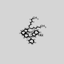 CCCCCCP(CCCCCC)C1=Cc2ccccc2[CH]1[Hf+2][CH]1C(P(c2ccccc2)c2ccccc2)=Cc2ccccc21.[Cl-].[Cl-]